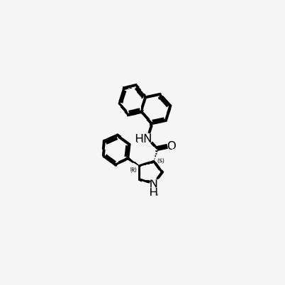 O=C(Nc1cccc2ccccc12)[C@@H]1CNC[C@H]1c1ccccc1